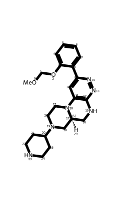 COCOc1ccccc1-c1cc2c(nn1)NC[C@H]1CN(C3CCNCC3)CCN21